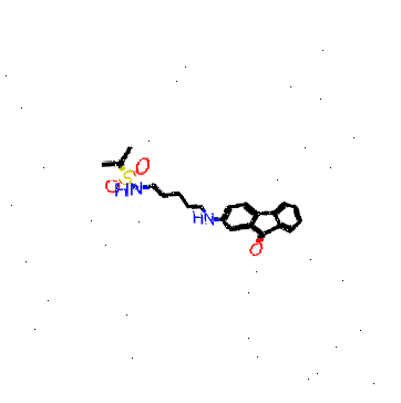 CC(C)S(=O)(=O)NCCCCCNc1ccc2c(c1)C(=O)c1ccccc1-2